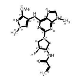 C=CC(=O)N[C@@H]1CN(c2nc(Nc3cn(C)nc3OC)c3ncn(C)c3n2)C[C@@H]1F